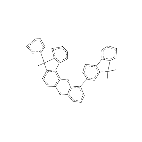 CC1(C)c2ccccc2-c2ccc(-c3cccc4c3Sc3c(ccc5c3-c3ccccc3C5(C)c3ccccc3)S4)cc21